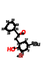 CCC(C)c1cc(Br)c(O)c(CC(=O)c2ccccc2)c1